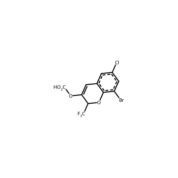 O=C(O)OC1=Cc2cc(Cl)cc(Br)c2OC1C(F)(F)F